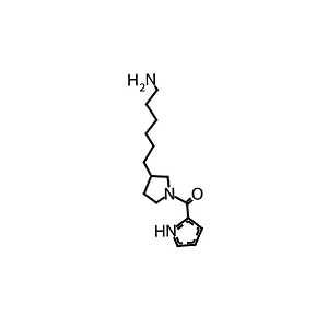 NCCCCCCC1CCN(C(=O)c2ccc[nH]2)C1